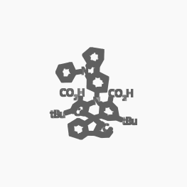 CC(C)(C)c1cc(C(=O)O)c2c(c1)C1(c3ccccc3-c3ccccc31)c1cc(C(C)(C)C)cc(C(=O)O)c1N2c1ccc2c3ccccc3n(-c3ccccc3)c2c1